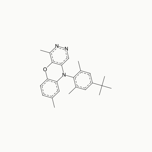 Cc1ccc2c(c1)N(c1c(C)cc(C(C)(C)C)cc1C)c1cnnc(C)c1O2